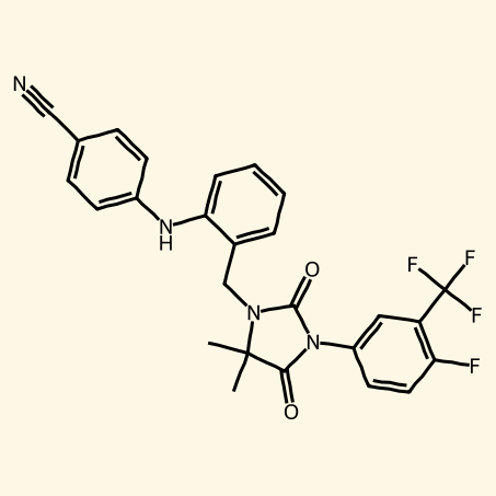 CC1(C)C(=O)N(c2ccc(F)c(C(F)(F)F)c2)C(=O)N1Cc1ccccc1Nc1ccc(C#N)cc1